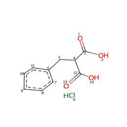 Cl.O=C(O)C(Cc1ccccc1)C(=O)O